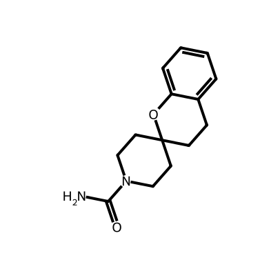 NC(=O)N1CCC2(CCc3ccccc3O2)CC1